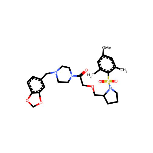 COc1cc(C)c(S(=O)(=O)N2CCCC2COCC(=O)N2CCN(Cc3ccc4c(c3)OCO4)CC2)c(C)c1